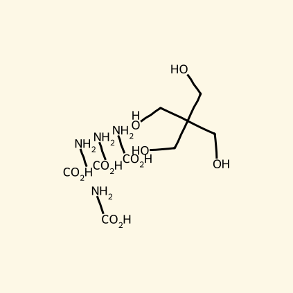 NC(=O)O.NC(=O)O.NC(=O)O.NC(=O)O.OCC(CO)(CO)CO